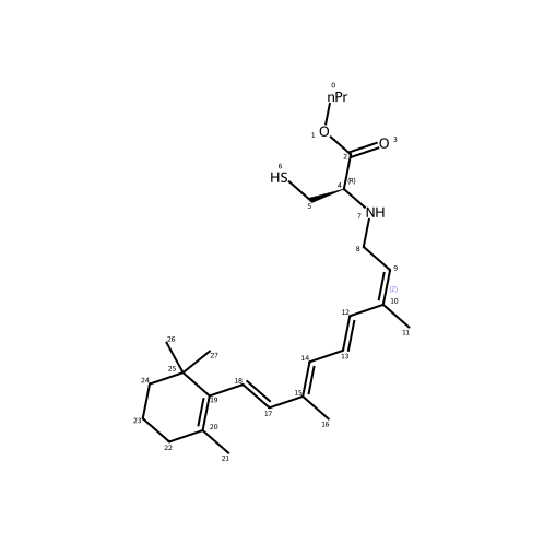 CCCOC(=O)[C@H](CS)NC/C=C(/C)C=CC=C(C)C=CC1=C(C)CCCC1(C)C